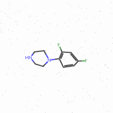 Fc1ccc(N2[CH]CNCC2)c(F)c1